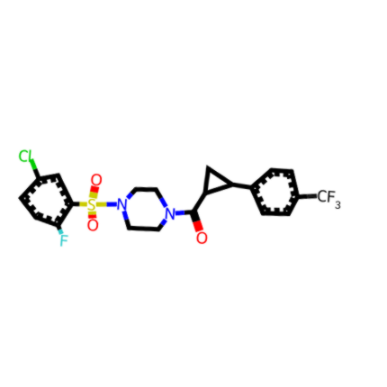 O=C(C1CC1c1ccc(C(F)(F)F)cc1)N1CCN(S(=O)(=O)c2cc(Cl)ccc2F)CC1